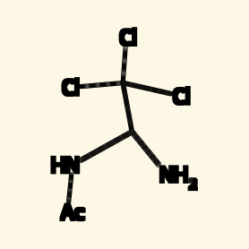 CC(=O)NC(N)C(Cl)(Cl)Cl